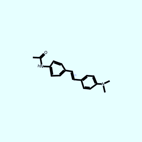 CC(=O)Nc1ccc(/C=C/c2ccc(N(C)C)cc2)cc1